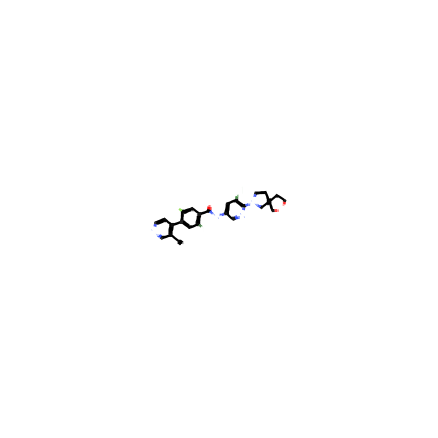 C#Cc1cnccc1-c1cc(Cl)c(C(=O)Nc2cnc(N3CCC4(CCOC4)C3)c(Cl)c2)cc1F